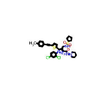 Cc1ccc(C#Cc2ccc(-c3c(CNS(=O)(=O)C4CCCC4)c(C(=O)NN4CCCCC4)nn3-c3ccc(Cl)cc3Cl)s2)cc1